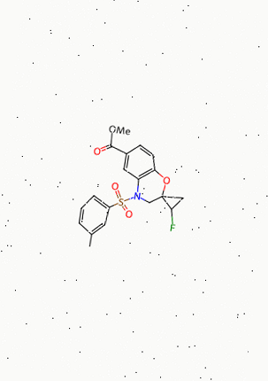 COC(=O)c1ccc2c(c1)N(S(=O)(=O)c1cccc(C)c1)CC1(CC1F)O2